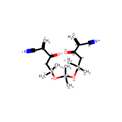 C=C(C#N)C(=O)C[Si](C)(C)O[Si](C)(C)O[Si](C)(C)CC(=O)C(=C)C#N